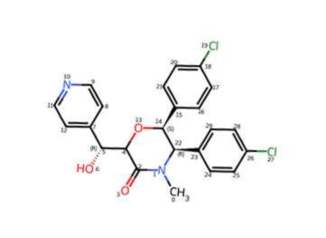 CN1C(=O)C([C@H](O)c2ccncc2)O[C@@H](c2ccc(Cl)cc2)[C@H]1c1ccc(Cl)cc1